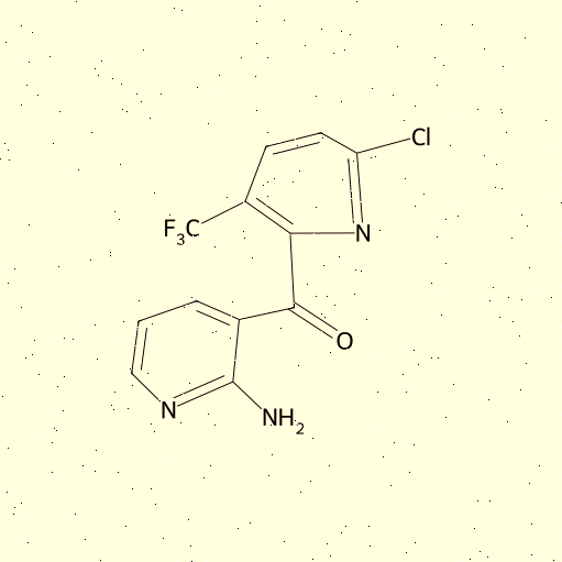 Nc1ncccc1C(=O)c1nc(Cl)ccc1C(F)(F)F